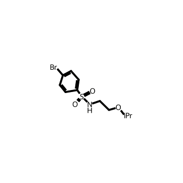 CC(C)OCCNS(=O)(=O)c1ccc(Br)cc1